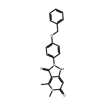 Cc1c2c(=O)n(-c3ccc(OCc4ccccc4)cc3)[nH]c2cc(=O)n1C